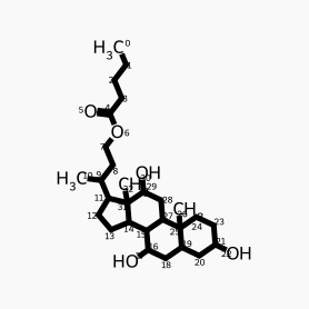 CCCCC(=O)OCCC(C)C1CCC2C3C(O)CC4CC(O)CCC4(C)C3CC(O)C12C